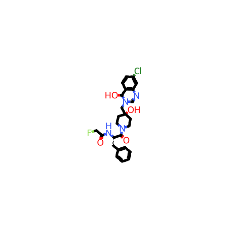 O=C(CF)N[C@@H](Cc1ccccc1)C(=O)N1CCC(O)(CN2C=Nc3cc(Cl)ccc3C2O)CC1